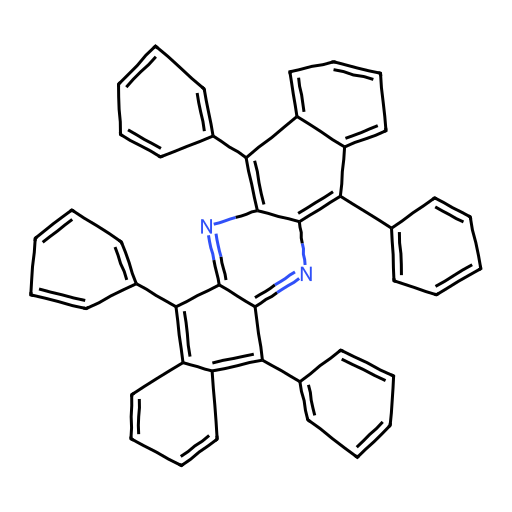 c1ccc(-c2c3ccccc3c(-c3ccccc3)c3nc4c(-c5ccccc5)c5ccccc5c(-c5ccccc5)c4nc23)cc1